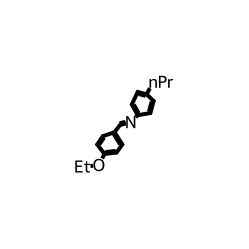 CCCc1ccc(N=Cc2ccc(OCC)cc2)cc1